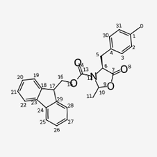 Cc1ccc(C[C@H]2C(=O)OC(C)N2C(=O)OCC2c3ccccc3-c3ccccc32)cc1